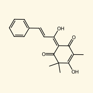 CC1=C(O)C(C)(C)C(=O)/C(=C(O)\C=C\c2ccccc2)C1=O